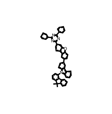 CC1(C)c2ccccc2-c2c(-n3c4ccccc4c4cc(-c5ccc6oc7cc(-c8nc(-c9ccccc9)nc(-c9ccccc9)n8)ccc7c6c5)ccc43)cccc21